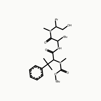 CC(C)C(CO)N(C)C(=O)C(NC(=O)C(N(C)C(=O)OC(C)(C)C)C(C)(C)c1ccccc1)C(C)(C)C